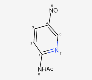 CC(=O)Nc1ccc(N=O)cn1